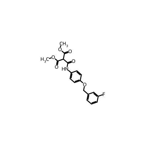 COC(=O)C(C(=O)Nc1ccc(OCc2cccc(F)c2)cc1)C(=O)OC